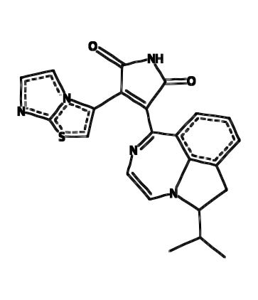 CC(C)C1Cc2cccc3c2N1C=CN=C3C1=C(c2csc3nccn23)C(=O)NC1=O